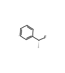 C[C@@H](F)c1c[c]ccc1